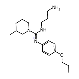 CCCOc1ccc(/N=C(\NCCCN)N2CCCC(C)C2)cc1